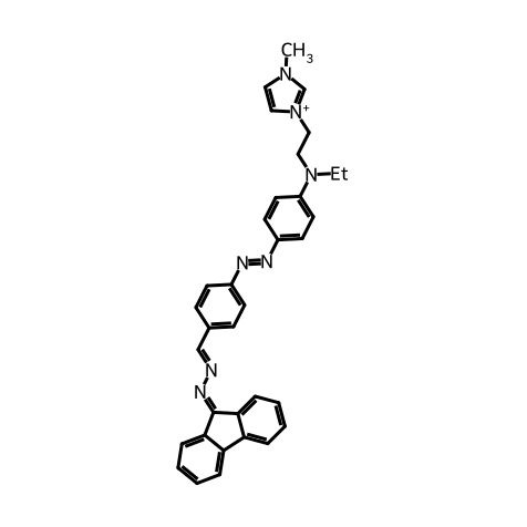 CCN(CC[n+]1ccn(C)c1)c1ccc(N=Nc2ccc(C=NN=C3c4ccccc4-c4ccccc43)cc2)cc1